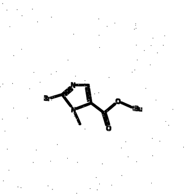 Cn1c(C(=O)OC(C)(C)C)cnc1Br